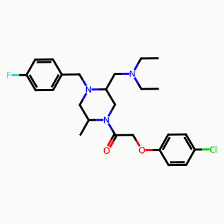 CCN(CC)CC1CN(C(=O)COc2ccc(Cl)cc2)C(C)CN1Cc1ccc(F)cc1